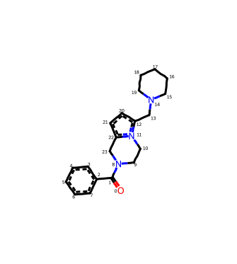 O=C(c1ccccc1)N1CCn2c(CN3CCCCC3)ccc2C1